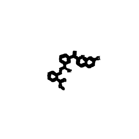 C=C(c1cccc([C@@H](Br)CCc2ccccc2C(=O)OC)c1)c1ccc2ccc(Cl)cc2n1